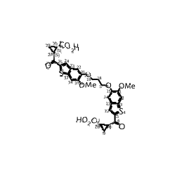 COc1cc2sc(C(=O)[C@H]3C[C@@H]3C(=O)O)cc2cc1OCCCOc1cc2cc(C(=O)[C@H]3C[C@@H]3C(=O)O)sc2cc1OC